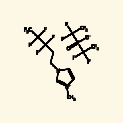 C[n+]1ccn(CCC(F)(F)C(F)(F)C(F)(F)F)c1.O=P([O-])(C(F)(F)C(F)(F)F)C(F)(F)C(F)(F)F